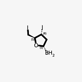 B[C@H]1C[C@@H](I)[C@H](CI)O1